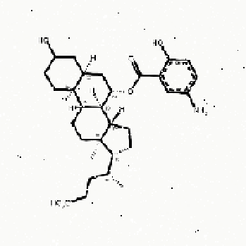 C[C@H](CCC(=O)O)[C@H]1CC[C@H]2[C@@H]3[C@@H](OC(=O)c4cc(N)ccc4O)C[C@@H]4CC(O)CC[C@]4(C)[C@H]3CC[C@]12C